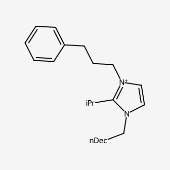 CCCCCCCCCCCn1cc[n+](CCCc2ccccc2)c1C(C)C